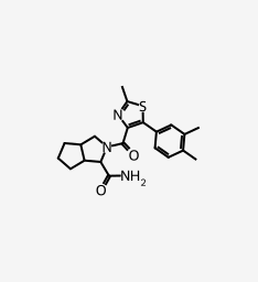 Cc1nc(C(=O)N2CC3CCCC3C2C(N)=O)c(-c2ccc(C)c(C)c2)s1